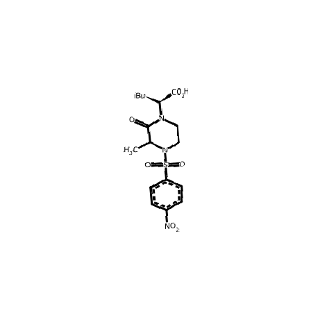 CC[C@H](C)[C@@H](C(=O)O)N1CCN(S(=O)(=O)c2ccc([N+](=O)[O-])cc2)C(C)C1=O